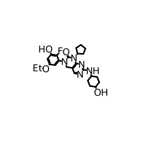 CCOc1cc(O)c(F)c(N2Cc3cnc(NC4CCC(O)CC4)nc3N(C3CCCC3)C2=O)c1